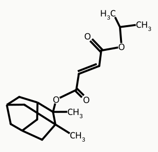 CC(C)OC(=O)C=CC(=O)OC1(C)C2CC3CC(C2)CC1(C)C3